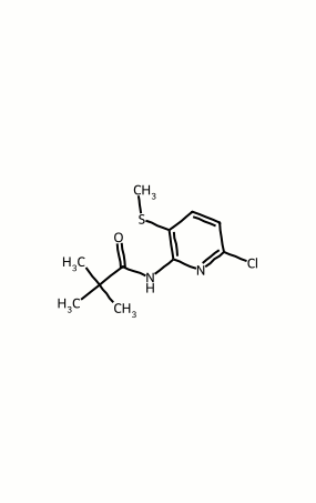 CSc1ccc(Cl)nc1NC(=O)C(C)(C)C